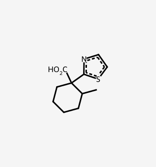 CC1CCCCC1(C(=O)O)c1nccs1